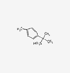 Cc1ccc(C(C)(C)S(=O)(=O)O)cc1